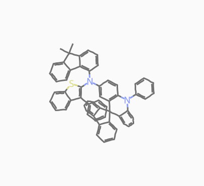 CC1(C)c2ccccc2-c2c(N(c3ccc4c(c3)C3(c5ccccc5-c5ccccc53)c3ccccc3N4c3ccccc3)c3sc4ccccc4c3-c3ccccc3)cccc21